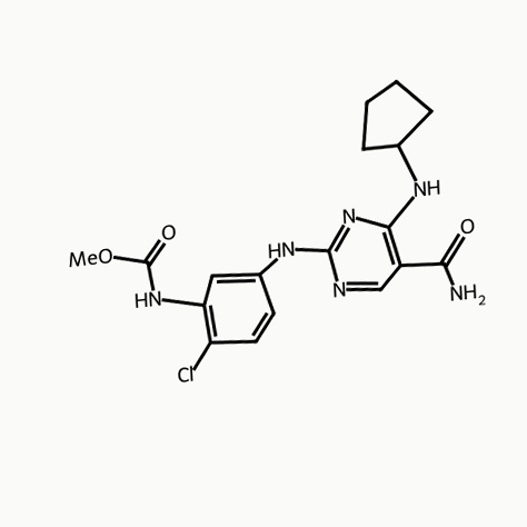 COC(=O)Nc1cc(Nc2ncc(C(N)=O)c(NC3CCCC3)n2)ccc1Cl